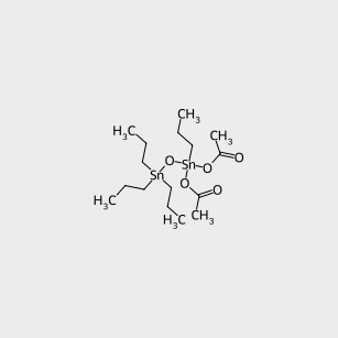 CC[CH2][Sn]([CH2]CC)([CH2]CC)[O][Sn]([CH2]CC)([O]C(C)=O)[O]C(C)=O